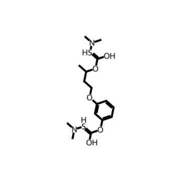 CC(CCOc1cccc(OC(O)=[SH]N(C)C)c1)OC(O)=[SH]N(C)C